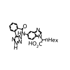 CCCCCCC(C(=O)O)n1cnc2cc(NC(=O)c3ccccc3-c3nn[nH]n3)ccc21